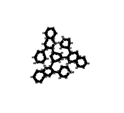 c1ccc2nc(-c3cc(-c4nc5ccccc5cc4-c4ccncc4)cc(-c4nc5ccccc5cc4-c4ccncc4)c3)c(-c3ccncc3)cc2c1